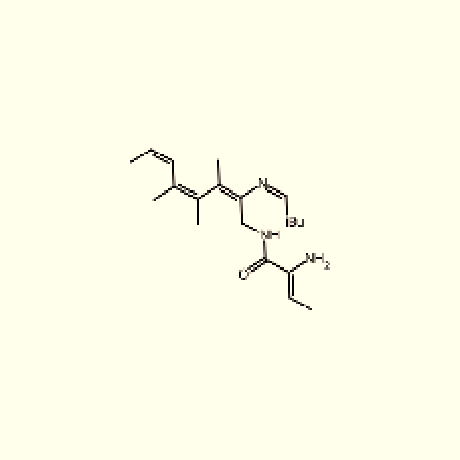 C\C=C/C(C)=C(C)\C(C)=C(CNC(=O)/C(N)=C/C)\N=C/C(C)CC